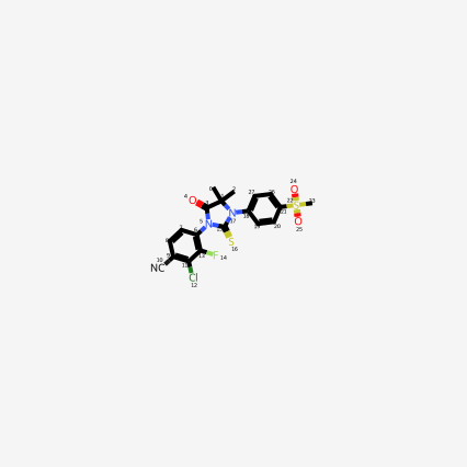 CC1(C)C(=O)N(c2ccc(C#N)c(Cl)c2F)C(=S)N1c1ccc(S(C)(=O)=O)cc1